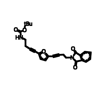 CC(C)(C)OC(=O)NCCC#Cc1ccc(C#CCCN2C(=O)c3ccccc3C2=O)o1